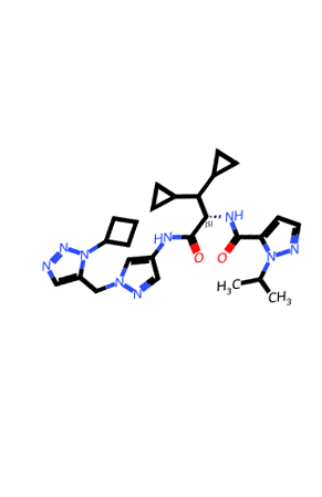 CC(C)n1nccc1C(=O)N[C@H](C(=O)Nc1cnn(Cc2cnnn2C2CCC2)c1)C(C1CC1)C1CC1